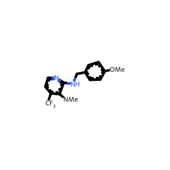 CNc1c(C(F)(F)F)ccnc1NCc1ccc(OC)cc1